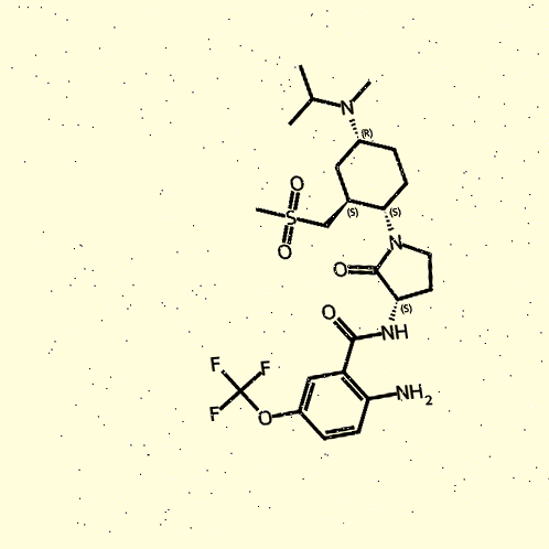 CC(C)N(C)[C@@H]1CC[C@H](N2CC[C@H](NC(=O)c3cc(OC(F)(F)F)ccc3N)C2=O)[C@@H](CS(C)(=O)=O)C1